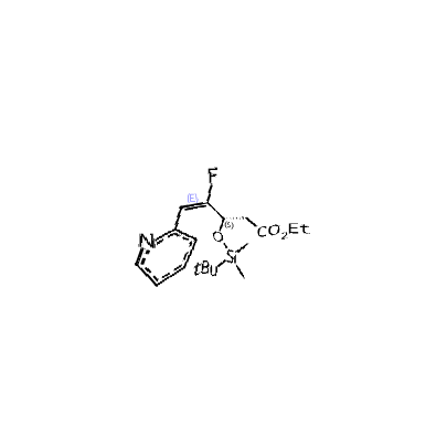 CCOC(=O)C[C@H](O[Si](C)(C)C(C)(C)C)/C(F)=C\c1ccccn1